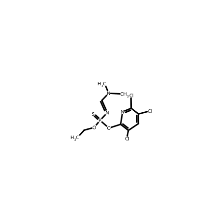 CCOP(=S)(/N=C/N(C)C)Oc1nc(Cl)c(Cl)cc1Cl